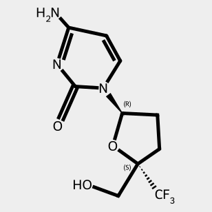 Nc1ccn([C@H]2CC[C@](CO)(C(F)(F)F)O2)c(=O)n1